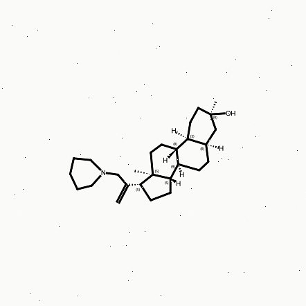 C=C(CN1CCCCC1)[C@H]1CC[C@H]2[C@@H]3CC[C@@H]4C[C@](C)(O)CC[C@@H]4[C@H]3CC[C@]12C